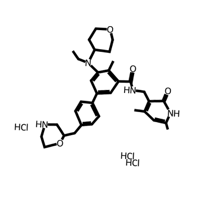 CCN(c1cc(-c2ccc(CC3CNCCO3)cc2)cc(C(=O)NCc2c(C)cc(C)[nH]c2=O)c1C)C1CCOCC1.Cl.Cl.Cl